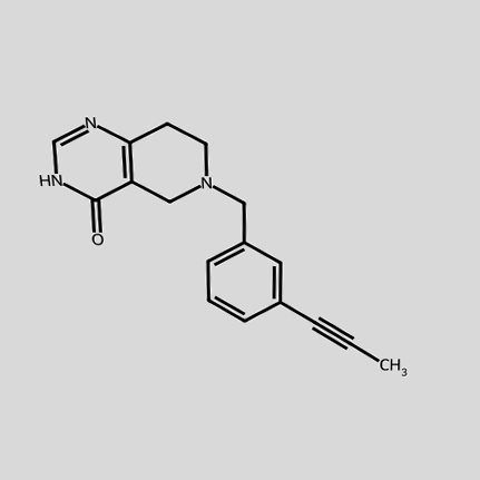 CC#Cc1cccc(CN2CCc3nc[nH]c(=O)c3C2)c1